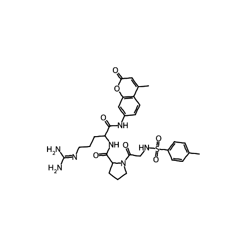 Cc1ccc(S(=O)(=O)NCC(=O)N2CCCC2C(=O)NC(CCCN=C(N)N)C(=O)Nc2ccc3c(C)cc(=O)oc3c2)cc1